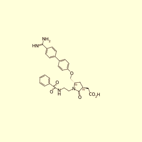 N=C(N)c1ccc(-c2ccc(OC[C@@H]3C[C@@H](CC(=O)O)C(=O)N3CCNS(=O)(=O)c3ccccc3)cc2)cc1